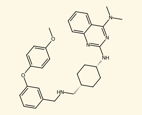 COc1ccc(Oc2cccc(CNC[C@H]3CC[C@@H](Nc4nc(N(C)C)c5ccccc5n4)CC3)c2)cc1